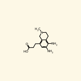 CN1CCc2c(N)c(N)cc(CCC(=O)O)c2C1